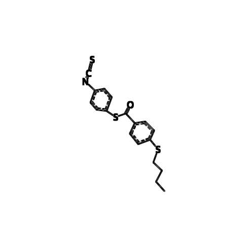 CCCCSc1ccc(C(=O)Sc2ccc(N=C=S)cc2)cc1